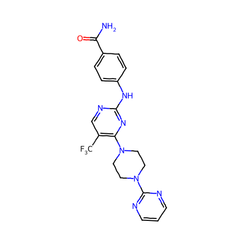 NC(=O)c1ccc(Nc2ncc(C(F)(F)F)c(N3CCN(c4ncccn4)CC3)n2)cc1